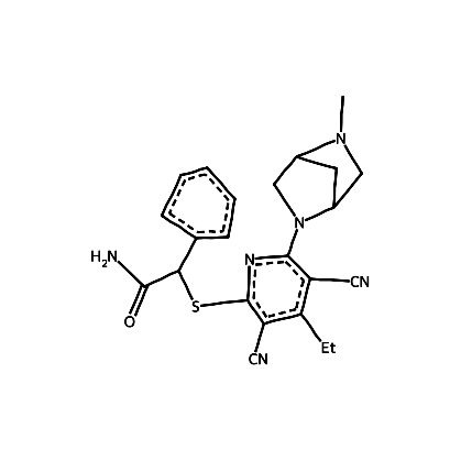 CCc1c(C#N)c(SC(C(N)=O)c2ccccc2)nc(N2CC3CC2CN3C)c1C#N